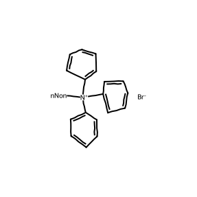 CCCCCCCCC[N+](c1ccccc1)(c1ccccc1)c1ccccc1.[Br-]